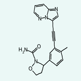 Cc1ccc(C2CCON2C(N)=O)cc1C#Cc1cnc2cccnn12